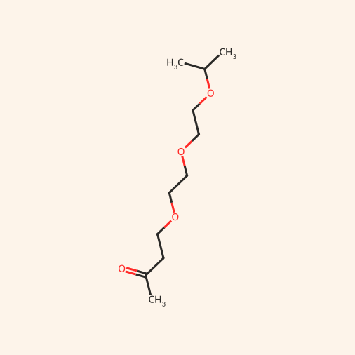 CC(=O)CCOCCOCCOC(C)C